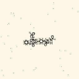 CC(=O)NC[C@H]1CN(c2ccc(C3=C[C@@H](C(=O)OCc4ccccc4)N(C(=O)COC(C)=O)C3)cc2)C(=O)O1